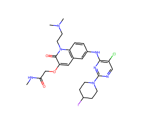 CNC(=O)COc1cc2cc(Nc3nc(N4CCC(I)CC4)ncc3Cl)ccc2n(CCN(C)C)c1=O